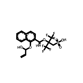 C=CC(O)Oc1c(C(=N)OC(CS(=O)(=O)O)(C(F)(F)F)C(F)(F)F)ccc2ccccc12